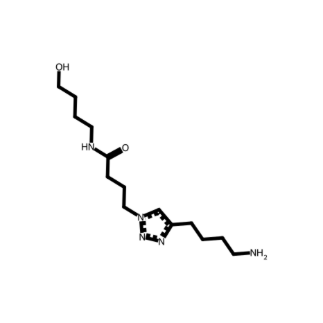 NCCCCc1cn(CCCC(=O)NCCCCO)nn1